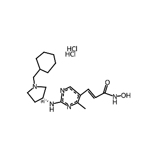 Cc1nc(N[C@@H]2CCN(CC3CCCCC3)C2)ncc1C=CC(=O)NO.Cl.Cl